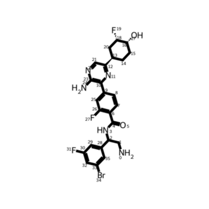 NCC(NC(=O)c1ccc(-c2nc([C@@H]3CC[C@@H](O)[C@@H](F)C3)cnc2N)cc1F)c1cc(F)cc(Br)c1